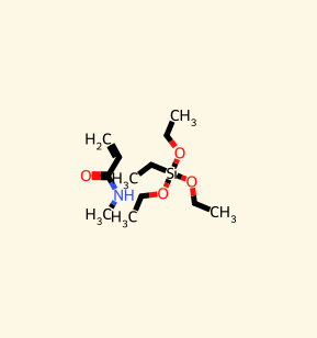 C=CC(=O)NC.CCO[Si](CC)(OCC)OCC